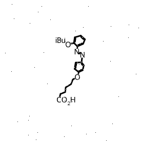 CCC(C)Oc1ccccc1N=Nc1ccc(OCCCCCC(=O)O)cc1